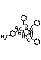 Cc1ccc(S(=O)(=O)O[C@@H]2O[C@@H]3COC(c4ccccc4)O[C@H]3[C@H](OCc3ccccc3)[C@H]2OCc2ccccc2)cc1